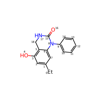 CCc1cc(O)c2c(c1)N(c1ccccc1)C(=O)NC2